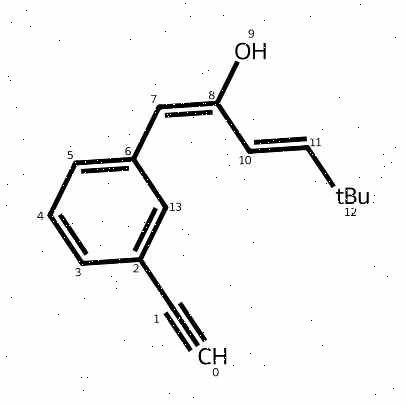 C#Cc1cccc(/C=C(O)\C=C\C(C)(C)C)c1